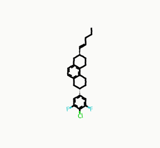 CCC/C=C/[C@H]1CCc2c(ccc3c2CC[C@H](c2cc(F)c(Cl)c(F)c2)C3)C1